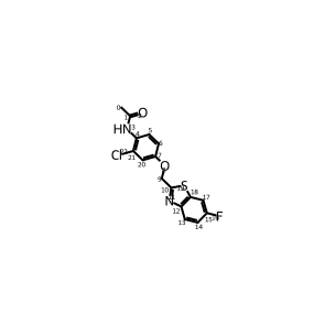 CC(=O)Nc1ccc(OCc2nc3ccc(F)cc3s2)cc1Cl